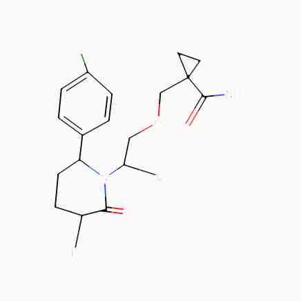 CCC1CCC(c2ccc(Cl)cc2)N(C(CC)COCC2(C(N)=O)CC2)C1=O